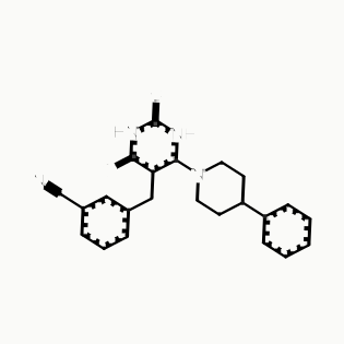 N#Cc1cccc(Cc2c(N3CCC(c4ccccc4)CC3)[nH]c(=O)[nH]c2=O)c1